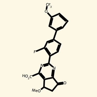 COC1CC(=O)c2nc(-c3ccc(-c4cccc(OC(F)(F)F)c4)cc3F)nc(C(=O)O)c21